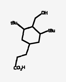 CC(C)(C)C1CC(CCC(=O)O)CC(C(C)(C)C)C1CO